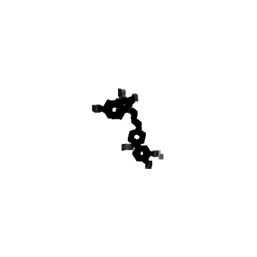 O=c1[nH]c2cc(Cl)ccc2n1CCCN1CCC(O)(c2ccc(Cl)c(C(F)(F)F)c2)CC1